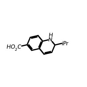 CC(C)C1C=Cc2cc(C(=O)O)ccc2N1